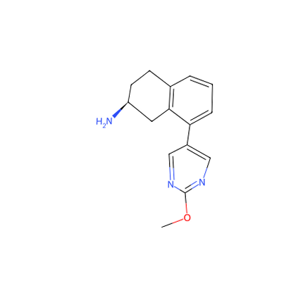 COc1ncc(-c2cccc3c2C[C@@H](N)CC3)cn1